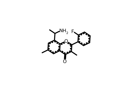 Cc1cc(C(C)N)c2oc(-c3ccccc3F)c(C)c(=O)c2c1